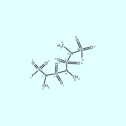 CN(S(=O)(=O)F)S(=O)(=O)N(C)S(=O)(=O)N(C)S(=O)(=O)F